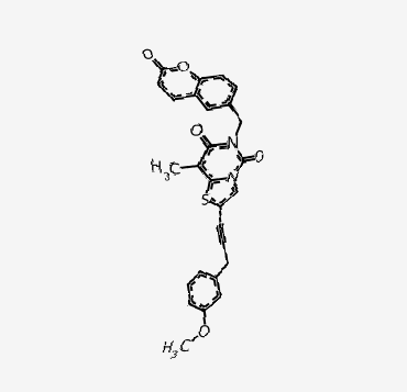 COc1cccc(CC#Cc2cn3c(=O)n(Cc4ccc5oc(=O)ccc5c4)c(=O)c(C)c3s2)c1